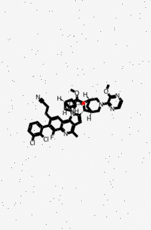 COC(=O)N1[C@@H]2C[C@@H](CN(c3nccnc3OC)C2)[C@@H]1c1cc2c(C)nc3c(F)c(-c4cccc(Cl)c4Cl)c(CCC#N)cc3c2n1[C@H]1[C@H]2CN[C@@H]1C2